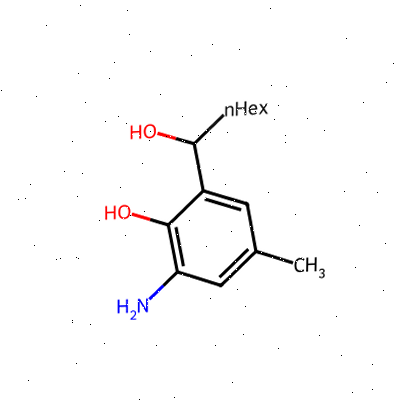 CCCCCCC(O)c1cc(C)cc(N)c1O